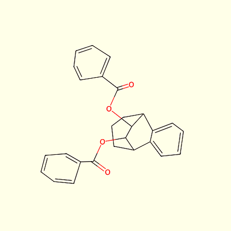 O=C(OC1C2CCCC(c3ccccc32)C1OC(=O)c1ccccc1)c1ccccc1